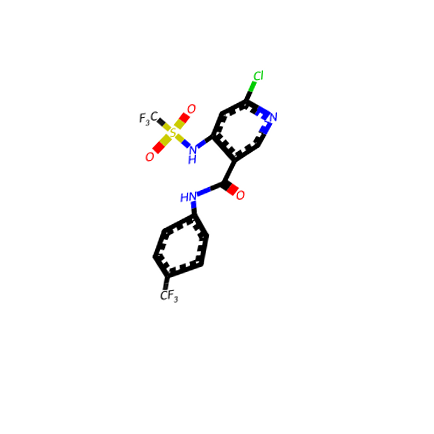 O=C(Nc1ccc(C(F)(F)F)cc1)c1cnc(Cl)cc1NS(=O)(=O)C(F)(F)F